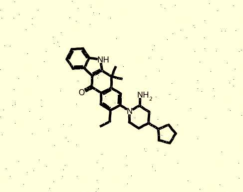 CCc1cc2c(cc1N1CCC(C3CCCC3)CC1N)C(C)(C)c1[nH]c3ccccc3c1C2=O